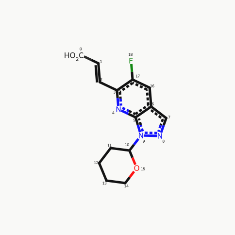 O=C(O)/C=C/c1nc2c(cnn2C2CCCCO2)cc1F